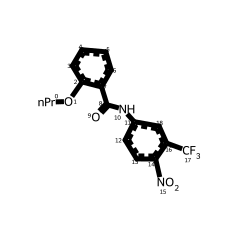 CCCOc1ccccc1C(=O)Nc1ccc([N+](=O)[O-])c(C(F)(F)F)c1